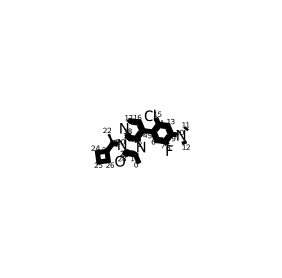 Cc1nc2c(-c3cc(F)c(N(C)C)cc3Cl)ccnc2n([C@H](C)C2CCC2)c1=O